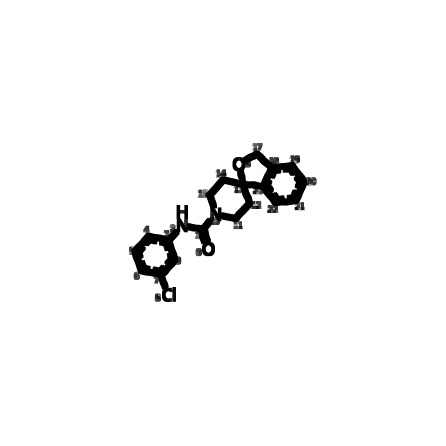 O=C(Nc1cccc(Cl)c1)N1CCC2(CC1)OCc1ccccc12